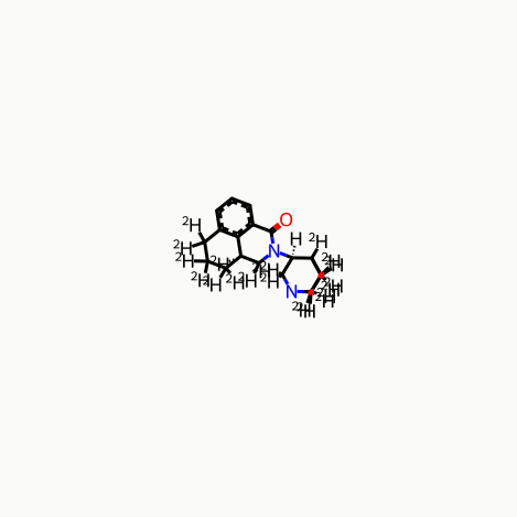 [2H]C1([2H])[C@@H](N2C(=O)c3cccc4c3[C@@]([2H])(C2([2H])[2H])C([2H])([2H])C([2H])([2H])C4([2H])[2H])C2([2H])C([2H])([2H])C([2H])([2H])N1C([2H])([2H])C2([2H])[2H]